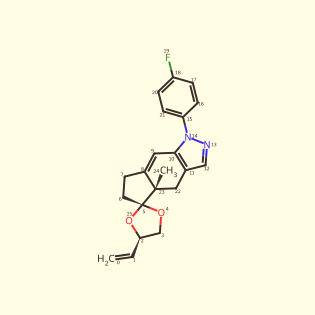 C=C[C@@H]1CO[C@]2(CCC3=Cc4c(cnn4-c4ccc(F)cc4)C[C@@]32C)O1